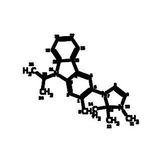 Cc1cc2c(cc1N1C=CN(C)C1(C)C)c1ccccc1n2C(C)C